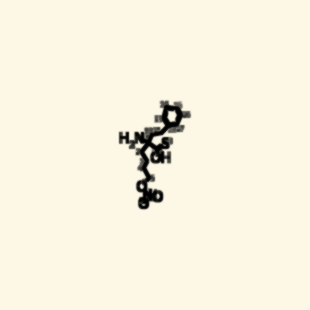 NC(CCCCO[N+](=O)[O-])(CCc1ccccc1)C(O)=S